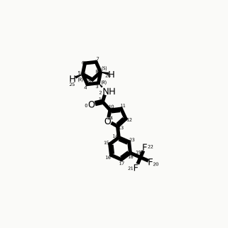 O=C(N[C@@H]1C[C@@H]2CC[C@H]1C2)c1ccc(-c2cccc(C(F)(F)F)c2)o1